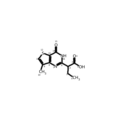 CCC(C(=O)O)c1nc2c(C)csc2c(=O)[nH]1